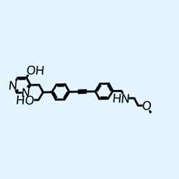 COCCNCc1ccc(C#Cc2ccc(C(CO)Cc3ncncc3O)cc2)cc1